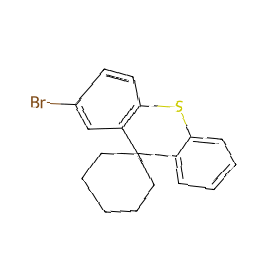 Brc1ccc2c(c1)C1(CCCCC1)c1ccccc1S2